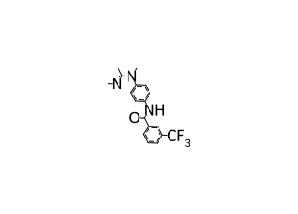 CN=C(C)N(C)c1ccc(NC(=O)c2cccc(C(F)(F)F)c2)cc1